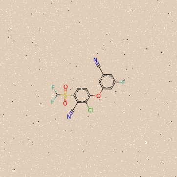 N#Cc1cc(F)cc(Oc2ccc(S(=O)(=O)C(F)F)c(C#N)c2Cl)c1